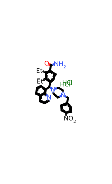 CCc1c(C(N)=O)ccc(C(c2cccc3cccnc23)N2CCN(Cc3ccc([N+](=O)[O-])cc3)CC2)c1CC.Cl.Cl